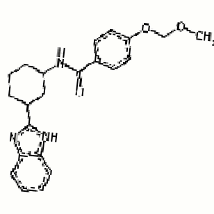 COCOc1ccc(C(=O)NC2CCCC(c3nc4ccccc4[nH]3)C2)cc1